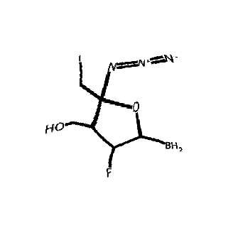 BC1OC(CI)(N=[N+]=[N-])C(O)C1F